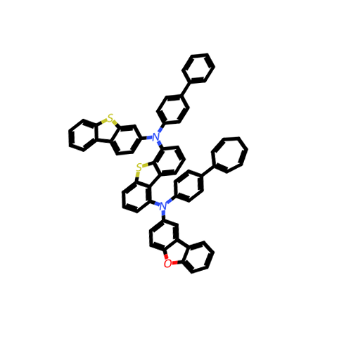 C1=CCC=CC(c2ccc(N(c3ccc4oc5ccccc5c4c3)c3cccc4sc5c(N(c6ccc(-c7ccccc7)cc6)c6ccc7c(c6)sc6ccccc67)cccc5c34)cc2)=C1